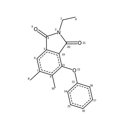 CCN1C(=O)c2cc(C)c(C)c(Oc3ccccc3)c2C1=O